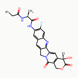 CC[C@@]1(O)C(=O)OCc2c1cc1n(c2=O)Cc2cc3cc(NC(=O)[C@H](C)NC(=O)CC(C)C)c(F)cc3nc2-1